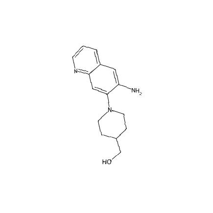 Nc1cc2cccnc2cc1N1CCC(CO)CC1